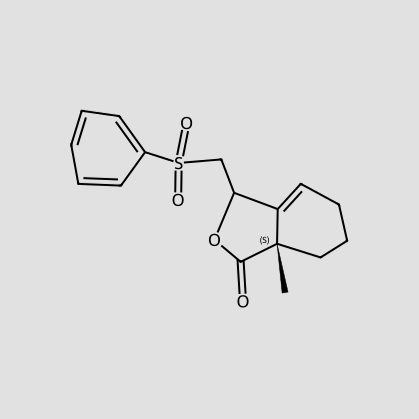 C[C@]12CCCC=C1C(CS(=O)(=O)c1ccccc1)OC2=O